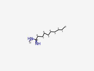 CCCCCCCCCC(=N)NC